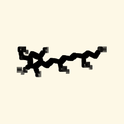 COc1cc(Cl)c(/C=C/C(C)=C/C=C/C(C)=C/CO)c(Cl)c1C